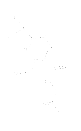 CN(C)c1nn(CC(=O)O)c(=O)c2ccc(C(F)(F)F)nc12